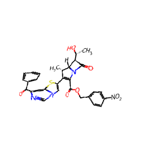 C[C@@H](O)[C@H]1C(=O)N2C(C(=O)OCc3ccc([N+](=O)[O-])cc3)=C(c3cn4cnc(C(=O)c5ccccc5)c4s3)[C@H](C)[C@H]12